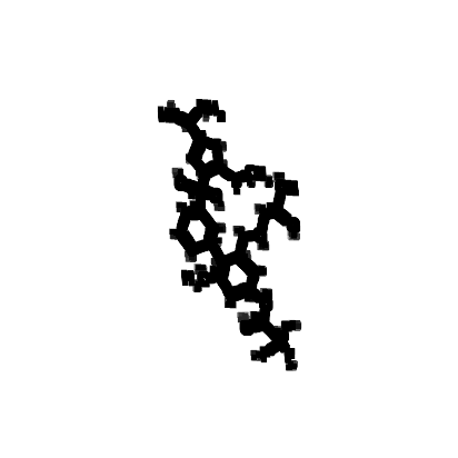 CSc1sc(C(=N)N)cc1S(=O)(=O)c1cccc(-c2c(C)cc(OC(=O)C(F)(F)F)cc2COCC(=O)O)c1